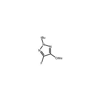 COc1nn(C(C)(C)C)nc1F